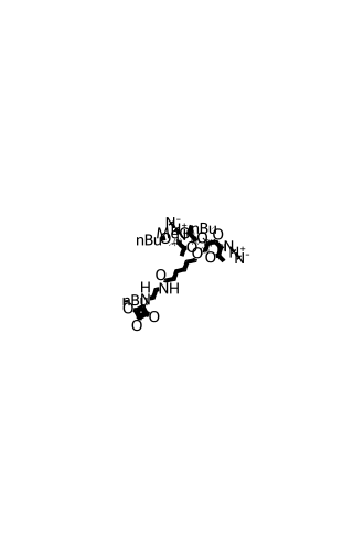 CCCCOC[C@H](N=[N+]=[N-])C(C)O[C@H](O[C@@H]1C(OCCCC)[C@H](N=[N+]=[N-])C(C)O[C@@H]1OCCCCCC(=O)NCCNc1c(OCCCC)c(=O)c1=O)[C@@H](C)OC